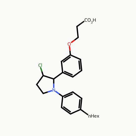 CCCCCCc1ccc(N2CCC(Cl)C2c2cccc(OCCC(=O)O)c2)cc1